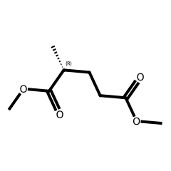 COC(=O)CC[C@@H](C)C(=O)OC